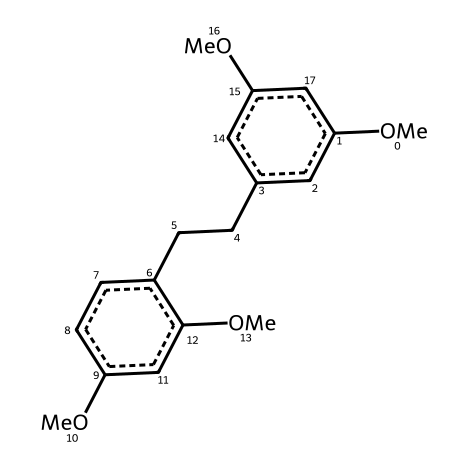 COc1cc(CCc2ccc(OC)cc2OC)cc(OC)c1